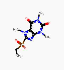 CCS(=O)(=O)c1nc2c(c(=O)n(C)c(=O)n2C)n1C